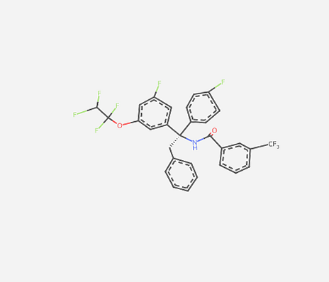 O=C(N[C@](Cc1ccccc1)(c1ccc(F)cc1)c1cc(F)cc(OC(F)(F)C(F)F)c1)c1cccc(C(F)(F)F)c1